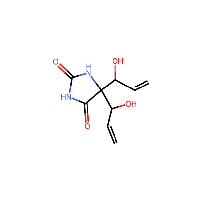 C=CC(O)C1(C(O)C=C)NC(=O)NC1=O